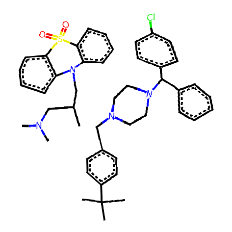 CC(C)(C)c1ccc(CN2CCN(C(c3ccccc3)c3ccc(Cl)cc3)CC2)cc1.CC(CN(C)C)CN1c2ccccc2S(=O)(=O)c2ccccc21